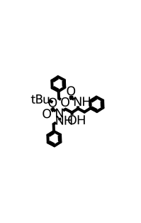 CC(C)(C)OC(=O)N(CC(O)C(Cc1ccccc1)NC(=O)OCc1ccccc1)NCc1ccccc1